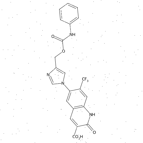 O=C(Nc1ccccc1)OCc1cn(-c2cc3cc(C(=O)O)c(=O)[nH]c3cc2C(F)(F)F)cn1